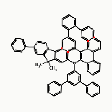 CC1(C)c2cc(-c3ccccc3)ccc2-c2ccc(N(c3cc(-c4ccccc4)cc(-c4ccccc4)c3)c3c(-c4cccc(-c5ccccc5-c5ccccc5)c4)c4ccccc4c4ccccc34)cc21